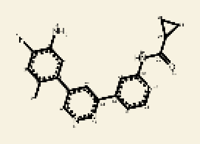 Cc1cc(F)c(N)cc1-c1cnnc(-c2ccnc(NC(=O)C3CC3)c2)c1